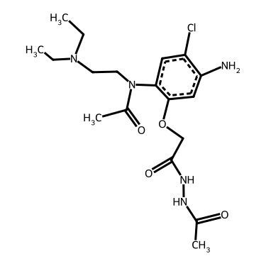 CCN(CC)CCN(C(C)=O)c1cc(Cl)c(N)cc1OCC(=O)NNC(C)=O